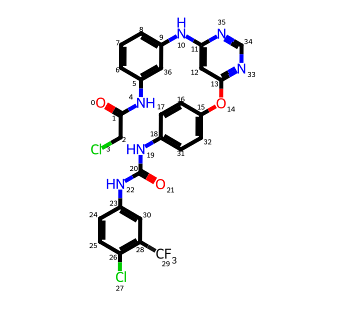 O=C(CCl)Nc1cccc(Nc2cc(Oc3ccc(NC(=O)Nc4ccc(Cl)c(C(F)(F)F)c4)cc3)ncn2)c1